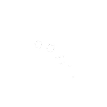 CCOC(=O)[C@@H](C[C@H](N)Cc1ccc(-c2cc(Cl)ccc2F)cc1)CN1CC(O)C1